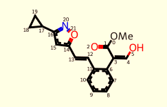 COC(=O)C(=CO)c1ccccc1C=Cc1cc(C2CC2)no1